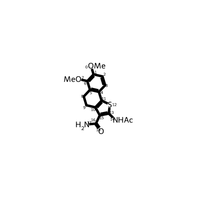 COc1ccc2c(c1OC)CCc1c-2sc(NC(C)=O)c1C(N)=O